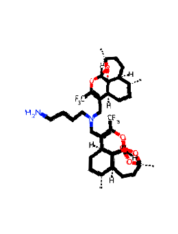 C[C@@H]1CC[C@H]2C(CN(CCCCN)CC3=C(C(F)(F)F)O[C@@H]4O[C@]5(C)CC[C@H]6[C@H](C)CC[C@@H]3[C@@]46OO5)=C(C(F)(F)F)O[C@@H]3O[C@]4(C)CC[C@@H]1[C@]32OO4